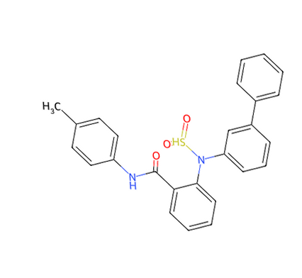 Cc1ccc(NC(=O)c2ccccc2N(c2cccc(-c3ccccc3)c2)[SH](=O)=O)cc1